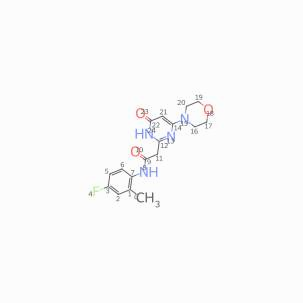 Cc1cc(F)ccc1NC(=O)Cc1nc(N2CCOCC2)cc(=O)[nH]1